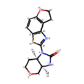 O=C1N[C@H]2COCC[C@H]2N1c1nc2c3c(ccc2s1)OCC3